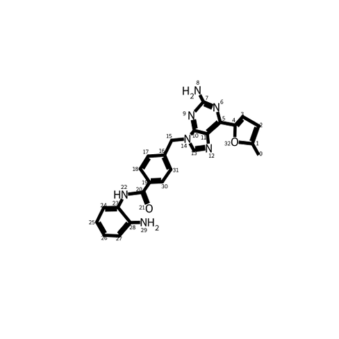 Cc1ccc(-c2nc(N)nc3c2ncn3Cc2ccc(C(=O)Nc3ccccc3N)cc2)o1